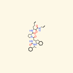 C=CCCC(NC(=O)[C@@H]1CCCN1C(=O)[C@@H](NC(=O)NC(C)c1ccccc1)C1Cc2ccccc2C1)C(=O)C(=O)NCC=C